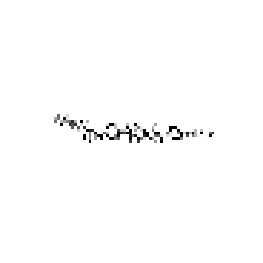 CCCCc1ccc(C2OCC3(CO2)COC(c2ccc(NCCNC)cc2)OC3)cc1